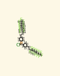 FC(F)(F)C(F)(F)C(F)(F)C(F)(F)C(F)(F)C(F)(F)CCc1ccc(P(Cl)c2ccc(CCC(F)(F)C(F)(F)C(F)(F)C(F)(F)C(F)(F)C(F)(F)F)cc2)cc1